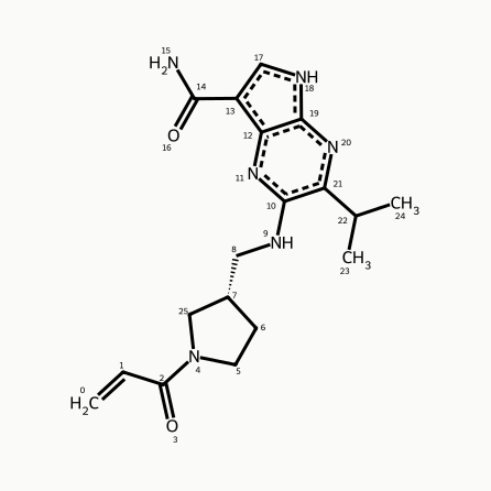 C=CC(=O)N1CC[C@@H](CNc2nc3c(C(N)=O)c[nH]c3nc2C(C)C)C1